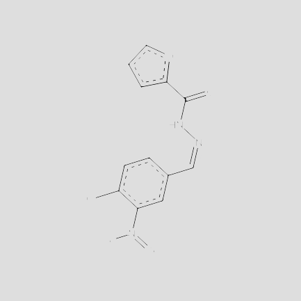 O=C(N/N=C\c1ccc(Cl)c([N+](=O)[O-])c1)c1ccco1